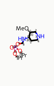 CO[C@H]1CNCC[C@H]1NCOP(=O)(OC(C)C)OC(C)C